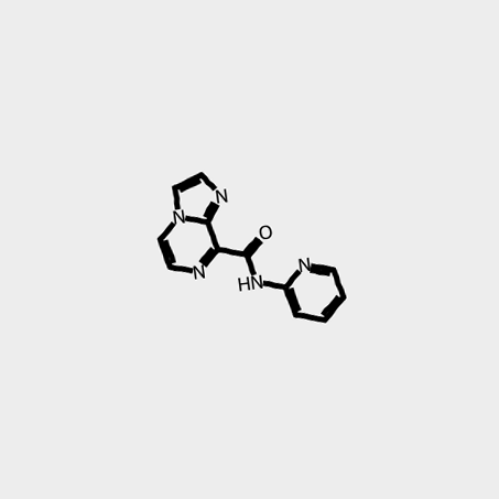 O=C(Nc1ccccn1)c1nccn2ccnc12